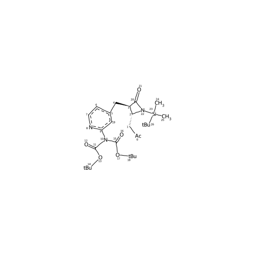 CC(=O)C[C@@H]1[C@@H](Cc2ccnc(N(C(=O)OC(C)(C)C)C(=O)OC(C)(C)C)c2)C(=O)N1[Si](C)(C)C(C)(C)C